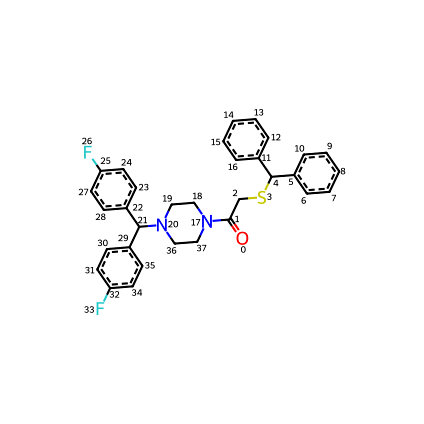 O=C(CSC(c1ccccc1)c1ccccc1)N1CCN(C(c2ccc(F)cc2)c2ccc(F)cc2)CC1